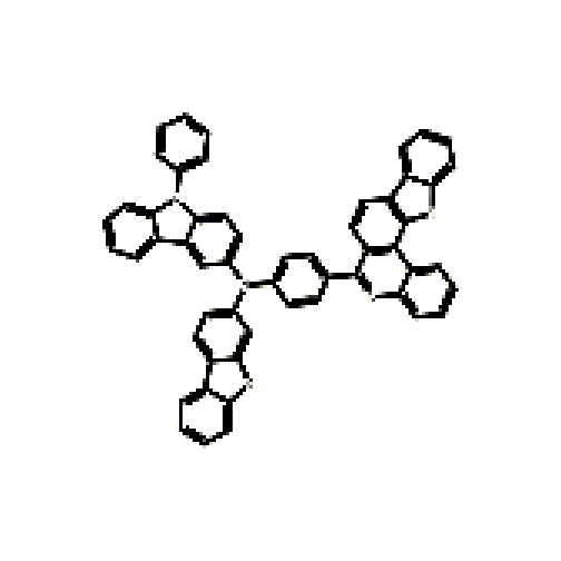 c1ccc(-n2c3ccccc3c3cc(N(c4ccc(-c5nc6ccccc6c6c5ccc5c7ccccc7sc56)cc4)c4ccc5c(c4)sc4ccccc45)ccc32)cc1